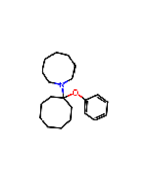 c1ccc(OC2(N3CCCCCCC3)CCCCCCC2)cc1